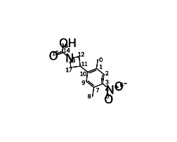 Cc1cc([N+](=O)[O-])c(C)cc1C1CN(C(=O)O)C1